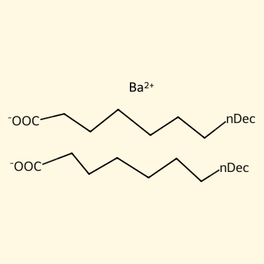 CCCCCCCCCCCCCCCCC(=O)[O-].CCCCCCCCCCCCCCCCC(=O)[O-].[Ba+2]